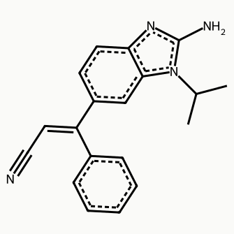 CC(C)n1c(N)nc2ccc(C(=CC#N)c3ccccc3)cc21